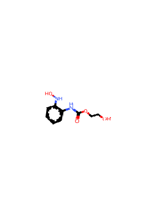 O=C(Nc1ccccc1NO)OCCO